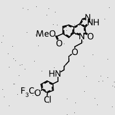 COC(=O)c1ccc2c3cn[nH]c3c(=O)n(CCOCCCCNCc3ccc(OC(F)(F)F)c(Cl)c3)c2c1